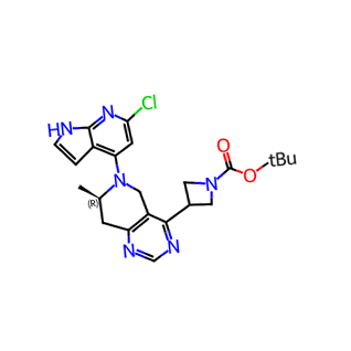 C[C@@H]1Cc2ncnc(C3CN(C(=O)OC(C)(C)C)C3)c2CN1c1cc(Cl)nc2[nH]ccc12